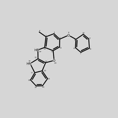 Cc1cc(Oc2ccccc2)cc2c1Bc1[nH]c3ccccc3c1O2